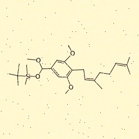 COc1cc(C(OC)O[Si](C)(C)C(C)(C)C)cc(OC)c1CC=C(C)CCC=C(C)C